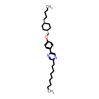 CCCCCCCCCc1cnc(-c2ccc(OC[C@H]3CC[C@H](CCCCC)CC3)cc2)cn1